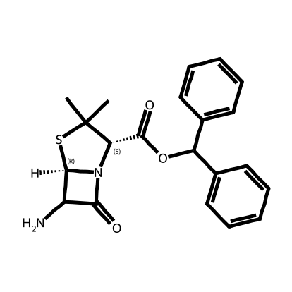 CC1(C)S[C@@H]2C(N)C(=O)N2[C@H]1C(=O)OC(c1ccccc1)c1ccccc1